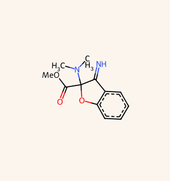 COC(=O)C1(N(C)C)Oc2ccccc2C1=N